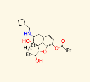 CCC(O)C1OC2=C(OC(=O)C(C)C)C=CC3CC(NCC4CCC4)C(C)(O)C1(CC)C23